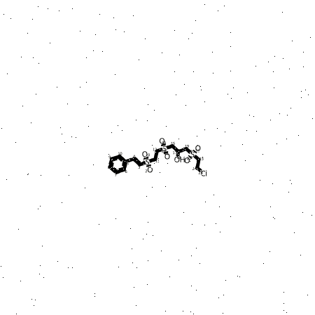 O=S(=O)(C=Cc1ccccc1)CCS(=O)(=O)CC(O)CS(=O)(=O)CCCl